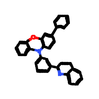 c1ccc(-c2ccc3c(c2)Oc2ccccc2N3c2cccc(-c3ccc4ccccc4n3)c2)cc1